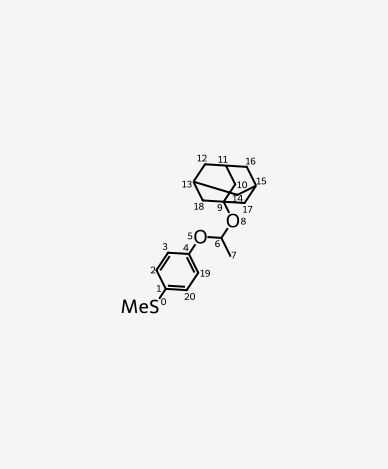 CSc1ccc(OC(C)OC23CC4CC(CC(C4)C2)C3)cc1